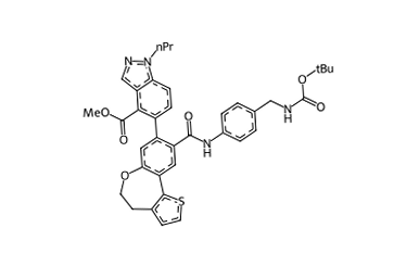 CCCn1ncc2c(C(=O)OC)c(-c3cc4c(cc3C(=O)Nc3ccc(CNC(=O)OC(C)(C)C)cc3)-c3sccc3CCO4)ccc21